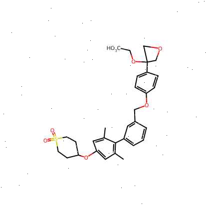 Cc1cc(OC2CCS(=O)(=O)CC2)cc(C)c1-c1cccc(COc2ccc(C3(OCC(=O)O)COC3)cc2)c1